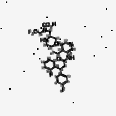 O=C(C[C@@H](c1ccc(F)cc1)c1ccccc1F)Nc1cncc(F)c1CC[C@@H]1CN[C@@H](CN(CC(F)(F)F)C(=O)O)CO1